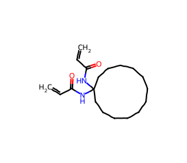 C=CC(=O)NC1(NC(=O)C=C)CCCCCCCCCCCC1